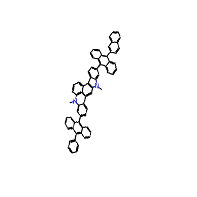 CN1c2cc(-c3c4ccccc4c(-c4ccccc4)c4ccccc34)ccc2-c2cc3c(c4cccc1c24)c1ccc(-c2c4ccccc4c(-c4ccc5ccccc5c4)c4ccccc24)cc1n3C